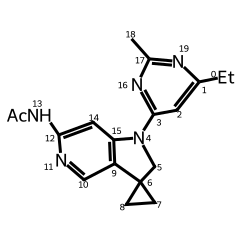 CCc1cc(N2CC3(CC3)c3cnc(NC(C)=O)cc32)nc(C)n1